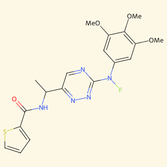 COc1cc(N(F)c2ncc(C(C)NC(=O)c3cccs3)nn2)cc(OC)c1OC